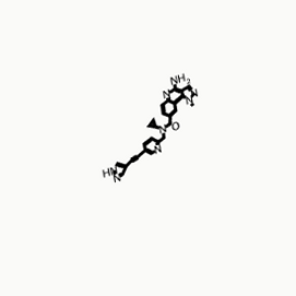 Cn1ncc2c(N)nc3ccc(C(=O)N(Cc4ccc(C#Cc5cn[nH]c5)cn4)C4CC4)cc3c21